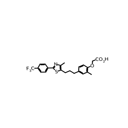 Cc1cc(CCCc2sc(-c3ccc(C(F)(F)F)cc3)nc2C)ccc1OCC(=O)O